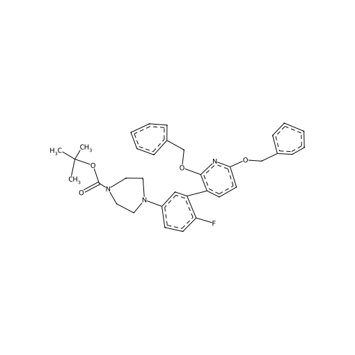 CC(C)(C)OC(=O)N1CCN(c2ccc(F)c(-c3ccc(OCc4ccccc4)nc3OCc3ccccc3)c2)CC1